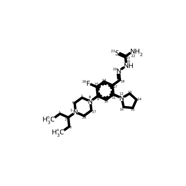 CCC(CC)N1CCN(c2cc(N3CCCC3)c(C=NNC(N)=S)cc2F)CC1